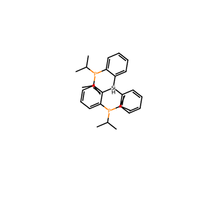 CC(C)P(c1ccccc1[SiH](c1ccccc1)c1ccccc1P(C(C)C)C(C)C)C(C)C